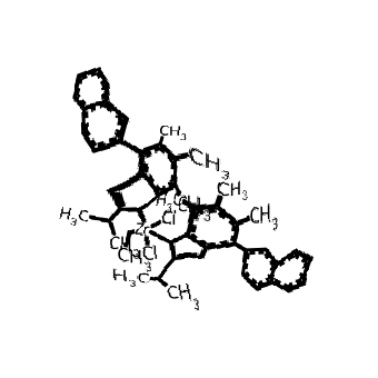 C[CH2][Zr]([Cl])([Cl])([CH]1C(C(C)C)=Cc2c(-c3ccc4ccccc4c3)c(C)c(C)c(C)c21)[CH]1C(C(C)C)=Cc2c(-c3ccc4ccccc4c3)c(C)c(C)c(C)c21